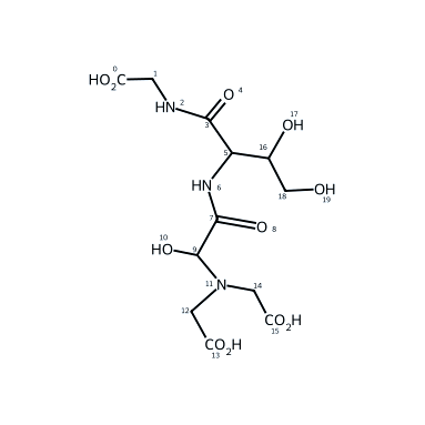 O=C(O)CNC(=O)C(NC(=O)C(O)N(CC(=O)O)CC(=O)O)C(O)CO